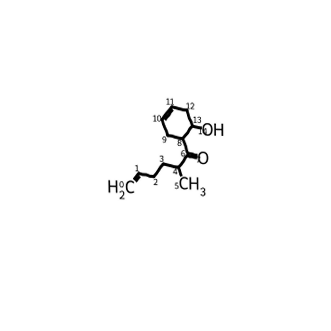 C=CCCC(C)C(=O)C1CC=CCC1O